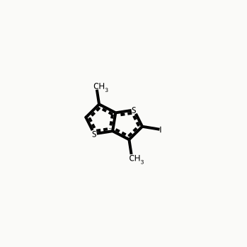 Cc1csc2c(C)c(I)sc12